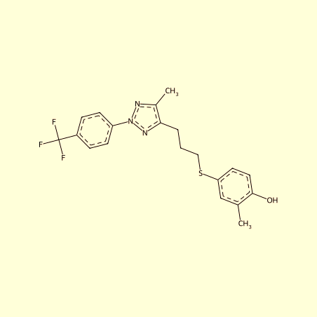 Cc1cc(SCCCc2nn(-c3ccc(C(F)(F)F)cc3)nc2C)ccc1O